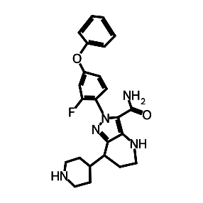 NC(=O)c1c2c(nn1-c1ccc(Oc3ccccc3)cc1F)C(C1CCNCC1)CCN2